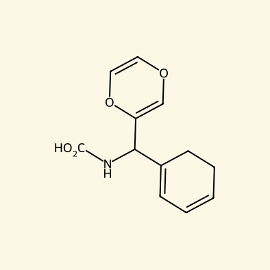 O=C(O)NC(C1=CC=CCC1)C1=COC=CO1